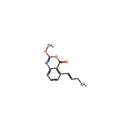 CC/C=C/c1cccc2nc(OC)oc(=O)c12